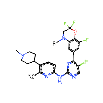 CC(C)N1CC(F)(F)Oc2c(F)cc(-c3nc(Nc4ccc(C5CCN(C)CC5)c(C#N)n4)ncc3F)cc21